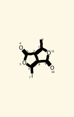 CC1=C2C(=O)OC(I)=C2C(=O)O1